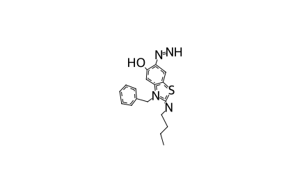 CCCCN=c1sc2cc(N=N)c(O)cc2n1Cc1ccccc1